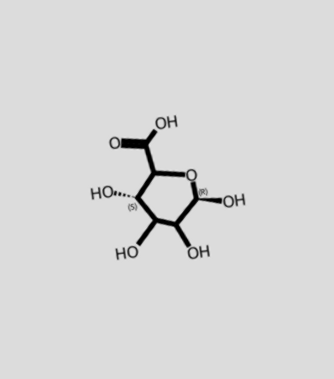 O=C(O)C1O[C@@H](O)C(O)C(O)[C@@H]1O